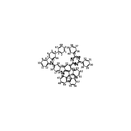 c1ccc(-c2ccc3c4ccccc4n(-c4ccc5c(c4)c4cc(-c6nc(-c7ccccc7)nc(-c7ccccc7)n6)cc6c4n5-c4ccccc4C6(c4ccccc4)c4ccccc4)c3c2)cc1